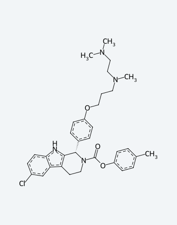 Cc1ccc(OC(=O)N2CCc3c([nH]c4ccc(Cl)cc34)[C@@H]2c2ccc(OCCCN(C)CCN(C)C)cc2)cc1